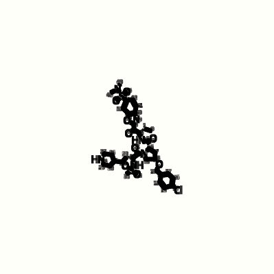 CC[C@H](NC(=O)[C@@H]1C[C@@H](OCc2ccc(Cl)cc2)CN1C(=O)[C@@H](CCC1CCNCC1)NS(C)(=O)=O)C(=O)c1nc2ccc(S(=O)(=O)N(C)C)cc2o1